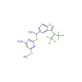 CSc1cc(N)nc(SC(C)c2cc3c(C(C(F)(F)F)C(F)(F)F)csc3cn2)n1